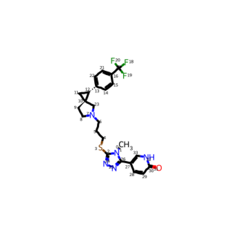 Cn1c(SCCCN2CC[C@]3(C[C@@H]3c3ccc(C(F)(F)F)cc3)C2)nnc1-c1ccc(=O)[nH]c1